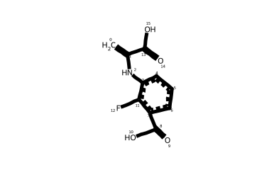 C=C(Nc1cccc(C(=O)O)c1F)C(=O)O